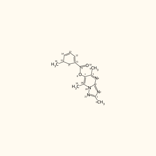 Cc1nc2nc(C)c(OC(=O)C3=CC=CC(C)C3)c(C)n2n1